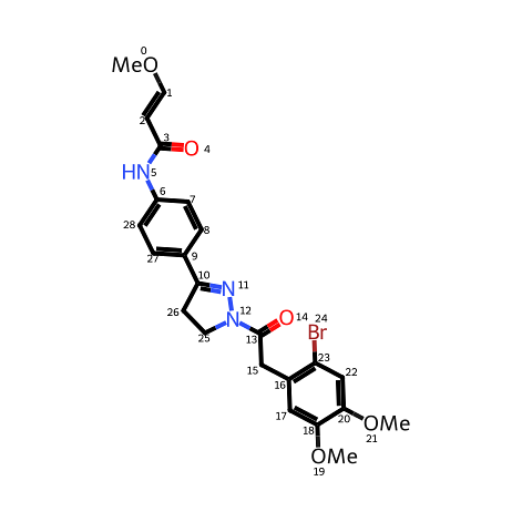 COC=CC(=O)Nc1ccc(C2=NN(C(=O)Cc3cc(OC)c(OC)cc3Br)CC2)cc1